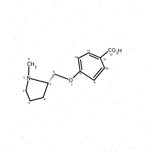 CN1CCC[C@H]1COc1ccc(C(=O)O)cc1